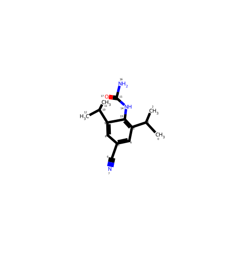 CC(C)c1cc(C#N)cc(C(C)C)c1NC(N)=O